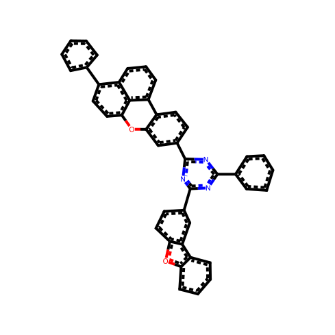 c1ccc(-c2nc(-c3ccc4c(c3)Oc3ccc(-c5ccccc5)c5cccc-4c35)nc(-c3ccc4oc5ccccc5c4c3)n2)cc1